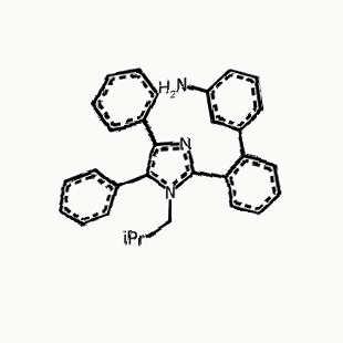 CC(C)Cn1c(-c2ccccc2-c2cccc(N)c2)nc(-c2ccccc2)c1-c1ccccc1